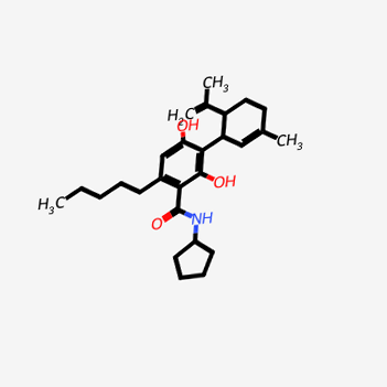 C=C(C)C1CCC(C)=CC1c1c(O)cc(CCCCC)c(C(=O)NC2CCCC2)c1O